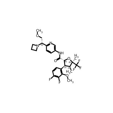 COC[C@H](c1ccc(NC(=O)[C@@H]2O[C@@](C)(C(F)(F)F)[C@@H](C)[C@H]2c2ccc(F)c(F)c2OC)cn1)N1CCC1